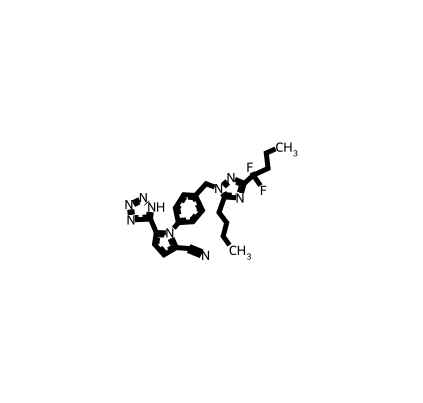 CCCCc1nc(C(F)(F)CCC)nn1Cc1ccc(-n2c(C#N)ccc2-c2nnn[nH]2)cc1